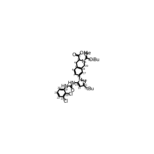 COC(=O)C1Cc2ccc(-n3nc(C(C)(C)C)cc3NC(=O)Nc3cccc(Cl)c3Cl)cc2CN1C(=O)OCC(C)C